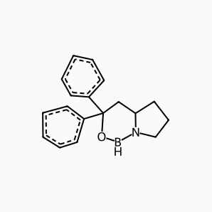 B1OC(c2ccccc2)(c2ccccc2)CC2CCCN12